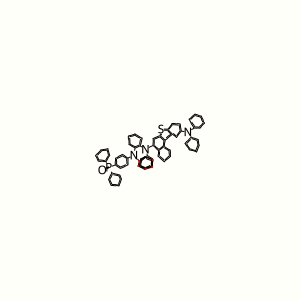 O=P(c1ccccc1)(c1ccccc1)c1ccc(N(c2ccccc2)c2ccccc2N(c2ccccc2)c2cc3sc4ccc(N(c5ccccc5)c5ccccc5)cc4c3c3ccccc23)cc1